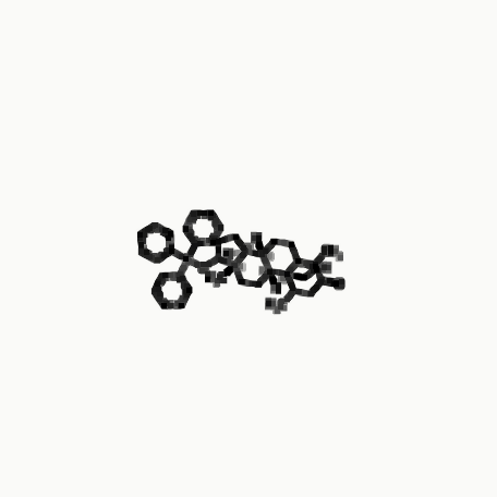 CC1=C2CC[C@@H]3[C@@H](CC[C@]4(C)C(O[Si](c5ccccc5)(c5ccccc5)c5ccccc5)CC[C@@H]34)[C@@]2(CO)C(C)CC1=O